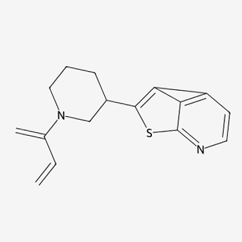 C=CC(=C)N1CCCC(c2sc3nccc4c3c2-4)C1